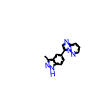 Cc1n[nH]c2ccc(-c3cnc4cccnn34)cc12